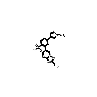 CCS(=O)(=O)c1ccc(-c2cnn(C)c2)nc1-c1cnc2nc(C(F)(F)F)nn2c1